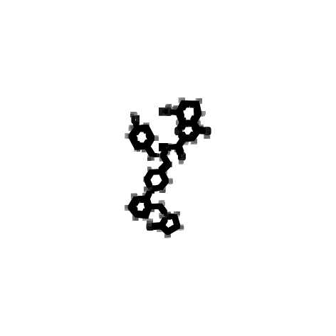 O=C(N[C@H](C=C1CCN(c2ccccc2CN2CCCC2=O)CC1)Cc1ccc(Cl)cc1)c1cc(=O)c2cccc(O)c2o1